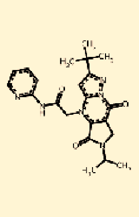 CC(C)N1Cc2c(n(CC(=O)Nc3ccccn3)c3cc(C(C)(C)C)nn3c2=O)C1=O